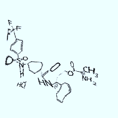 C[C@H](N)C(=O)OC[C@@H](NC(=O)[C@H]1CC[C@H](NS(=O)(=O)c2ccc(C(F)(F)F)cc2)CC1)c1ccccc1.Cl